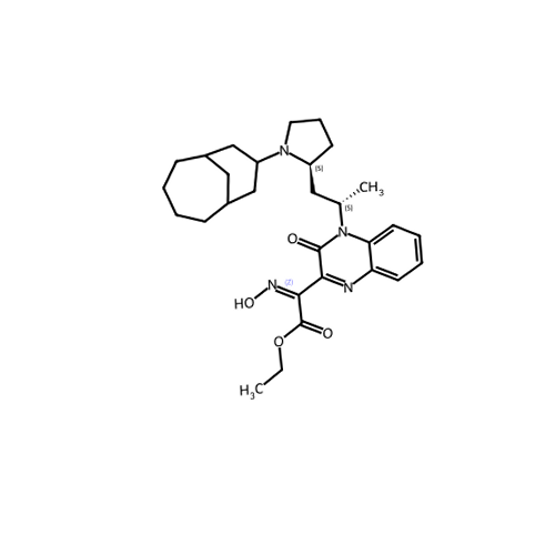 CCOC(=O)/C(=N\O)c1nc2ccccc2n([C@@H](C)C[C@@H]2CCCN2C2CC3CCCCC(C3)C2)c1=O